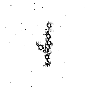 Cc1c(C(=O)NC2CCNCC2)ccc(-c2ccc(C[C@H](NC(=O)[C@H]3CC[C@H](CN)CC3)C(=O)Nc3ccc(-c4nn[nH]n4)cc3)cc2)c1C.Cl